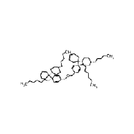 CCCCCCC[C@]1(C2([C@H]3CC[C@H](CCCCC)CC3)CCCCC2)C=C[C@H](COC[C@H]2C=C[C@](CCCCCCC)(C3([C@H]4CC[C@H](CCCCC)CC4)CCCCC3)C=C2)C=C1